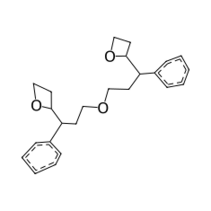 c1ccc(C(CCOCCC(c2ccccc2)C2CCO2)C2CCO2)cc1